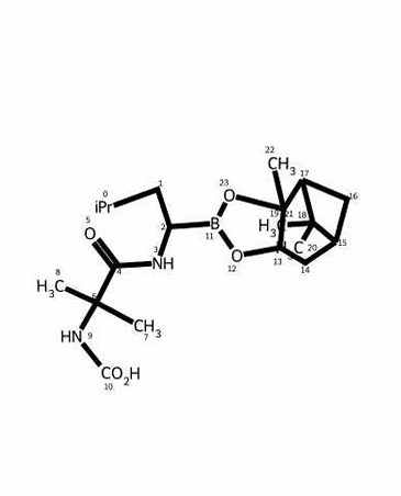 CC(C)CC(NC(=O)C(C)(C)NC(=O)O)B1OC2CC3CC(C3(C)C)C2(C)O1